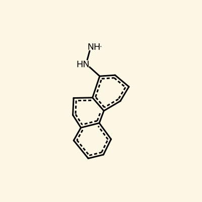 [NH]Nc1cccc2c1ccc1ccccc12